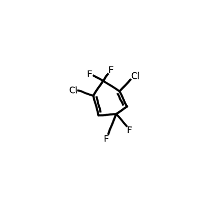 FC1(F)C=C(Cl)C(F)(F)C(Cl)=C1